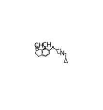 CB1CCc2ccc(CC3CN(CC4CC4)C3)c(C)c21